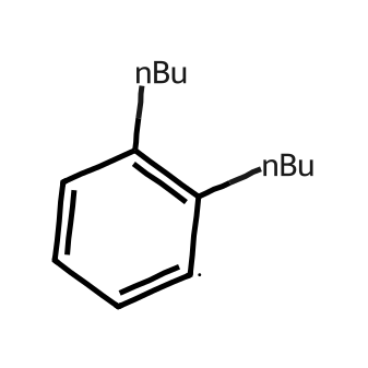 CCCCc1[c]cccc1CCCC